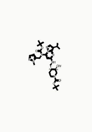 CC(C)c1cnn2c(N(Cc3ccnn3C)C(=O)OC(C)(C)C)cc(NC[C@H]3CCN(C(=O)OC(C)(C)C)C[C@@H]3O)nc12